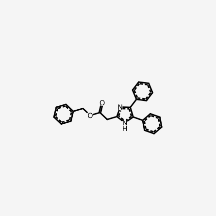 O=C(Cc1nc(-c2ccccc2)c(-c2ccccc2)[nH]1)OCc1ccccc1